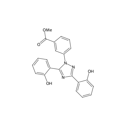 COC(=O)c1cccc(-n2nc(-c3ccccc3O)nc2-c2ccccc2O)c1